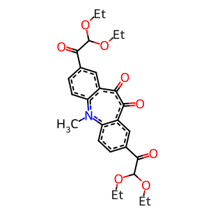 CCOC(OCC)C(=O)c1ccc2c(c1)c(=O)c(=O)c1cc(C(=O)C(OCC)OCC)ccc1n2C